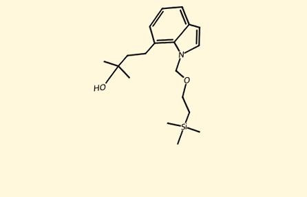 CC(C)(O)CCc1cccc2ccn(COCC[Si](C)(C)C)c12